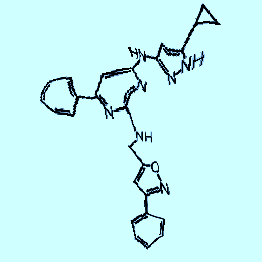 c1ccc(-c2cc(CNc3nc(Nc4cc(C5CC5)[nH]n4)cc(-c4ccccc4)n3)on2)cc1